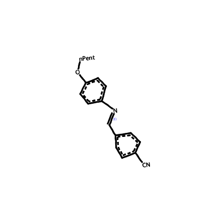 CCCCCOc1ccc(/N=C/c2ccc(C#N)cc2)cc1